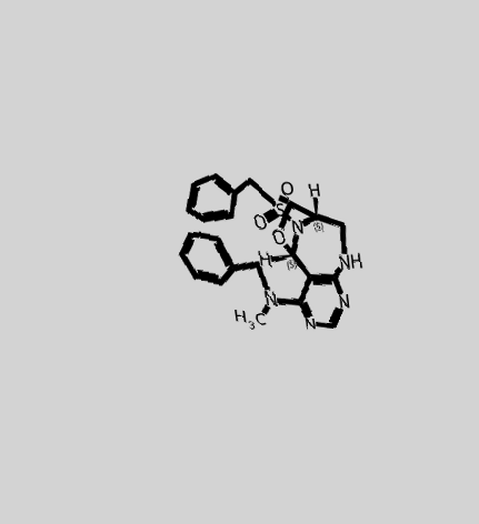 CN(Cc1ccccc1)c1ncnc2c1[C@@H]1OC[C@H](CN2)N1S(=O)(=O)Cc1ccccc1